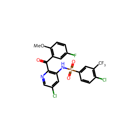 COc1ccc(F)cc1C(=O)c1ncc(Cl)cc1NS(=O)(=O)c1ccc(Cl)c(C(F)(F)F)c1